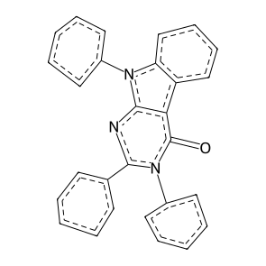 O=c1c2c3ccccc3n(-c3ccccc3)c2nc(-c2ccccc2)n1-c1ccccc1